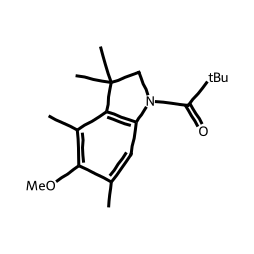 COc1c(C)cc2c(c1C)C(C)(C)CN2C(=O)C(C)(C)C